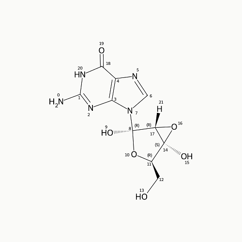 Nc1nc2c(ncn2[C@]2(O)O[C@H](CO)[C@]3(O)O[C@H]32)c(=O)[nH]1